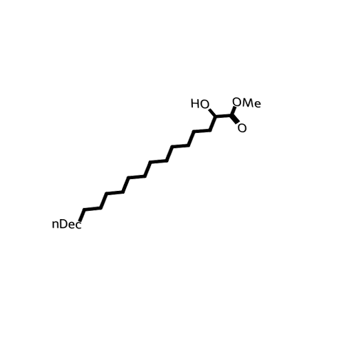 CCCCCCCCCCCCCCCCCCCCCCC(O)C(=O)OC